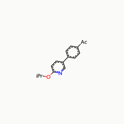 CC(=O)c1ccc(-c2ccc(OC(C)C)nc2)cc1